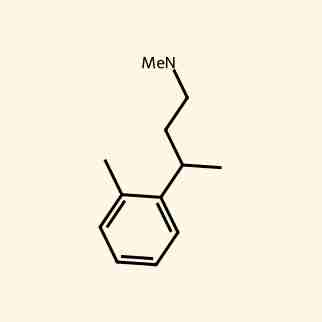 CNCCC(C)c1ccccc1C